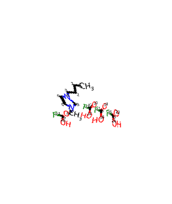 CCCCN1C=CN(C)C1.O=C(O)F.O=C(O)F.O=C(O)F.O=C(O)F